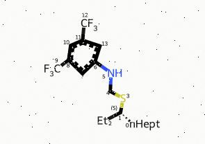 CCCCCCC[C@H](CC)SCNc1cc(C(F)(F)F)cc(C(F)(F)F)c1